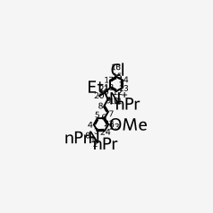 CCCN(CCC)c1ccc(/C=C/C2=[N+](CCC)c3ccc(Cl)cc3C2(C)CC)c(OC)c1